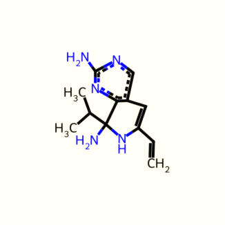 C=CC1=Cc2cnc(N)nc2C(N)(C(C)C)N1